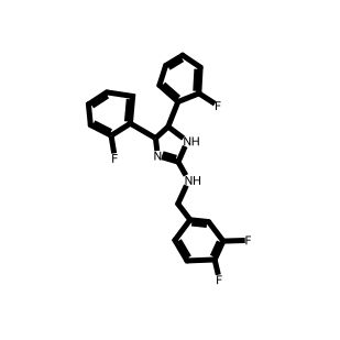 Fc1ccc(CNC2=NC(c3ccccc3F)C(c3ccccc3F)N2)cc1F